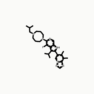 Cc1c(-c2[nH]c3cnc(N4CCCN(CC(C)C)CCC4)c(F)c3c2C(C)C)cn2ncnc2c1C